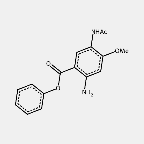 COc1cc(N)c(C(=O)Oc2ccccc2)cc1NC(C)=O